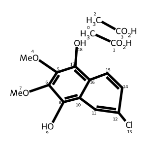 CC(=O)O.CC(=O)O.COc1c(OC)c(O)c2cc(Cl)ccc2c1O